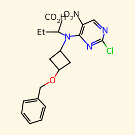 CCC(C(=O)O)N(c1nc(Cl)ncc1[N+](=O)[O-])C1CC(OCc2ccccc2)C1